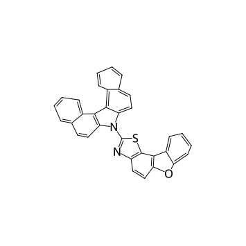 c1ccc2c(c1)ccc1c2c2c3ccccc3ccc2n1-c1nc2ccc3oc4ccccc4c3c2s1